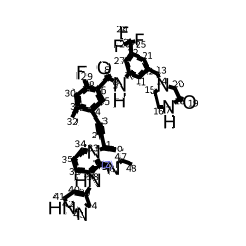 C=C(C#Cc1cc(C(=O)Nc2cc(CN3CCNC(=O)C3)cc(C(F)(F)F)c2)c(F)cc1C)n1cccc(NC2=CCNN=C2)/c1=N/CC